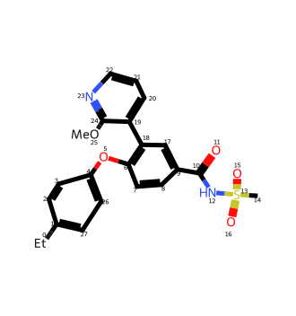 CCc1ccc(Oc2ccc(C(=O)NS(C)(=O)=O)cc2-c2cccnc2OC)cc1